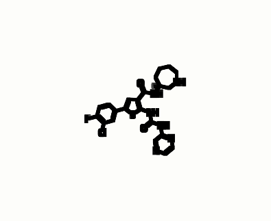 O=C(Nc1cnccn1)Nc1sc(-c2ccc(F)c(Cl)c2)cc1C(=O)N[C@H]1CCCCNC1